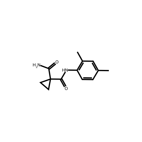 Cc1ccc(NC(=O)C2(C(N)=O)CC2)c(C)c1